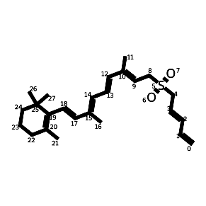 C=CC=CCS(=O)(=O)CC=C(C)C=CC=C(C)C=CC1=C(C)CCCC1(C)C